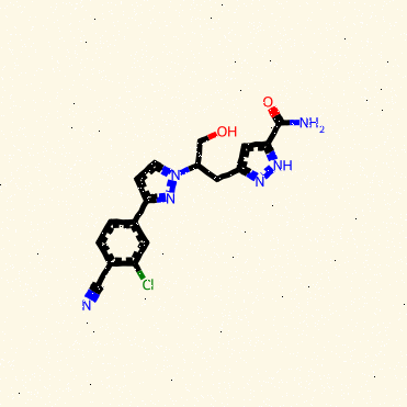 N#Cc1ccc(-c2ccn(C(CO)Cc3cc(C(N)=O)[nH]n3)n2)cc1Cl